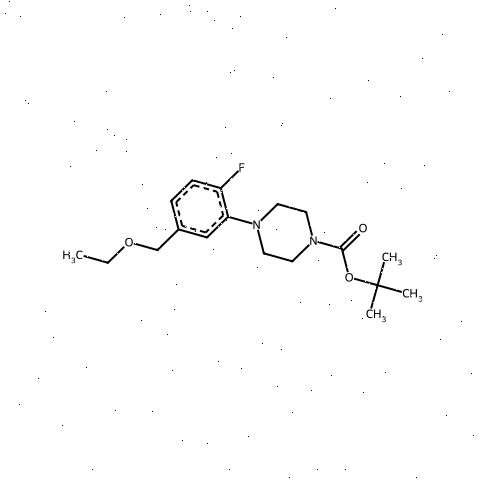 CCOCc1ccc(F)c(N2CCN(C(=O)OC(C)(C)C)CC2)c1